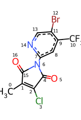 CC1=C(Cl)C(=O)N(c2cc(C(F)(F)F)c(Br)cn2)C1=O